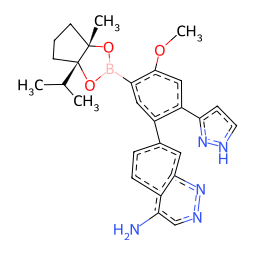 COc1cc(-c2cc[nH]n2)c(-c2ccc3c(N)cnnc3c2)cc1B1O[C@]2(C(C)C)CCC[C@]2(C)O1